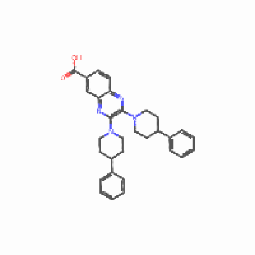 O=C(O)c1ccc2nc(N3CCC(c4ccccc4)CC3)c(N3CCC(c4ccccc4)CC3)nc2c1